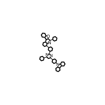 c1ccc(-c2cc(-c3ccc(-n4c5ccccc5c5ccccc54)cc3)nc(-c3cccc(-c4cccc5c4nc(-c4ccccc4)c4oc6ccccc6c45)c3)n2)cc1